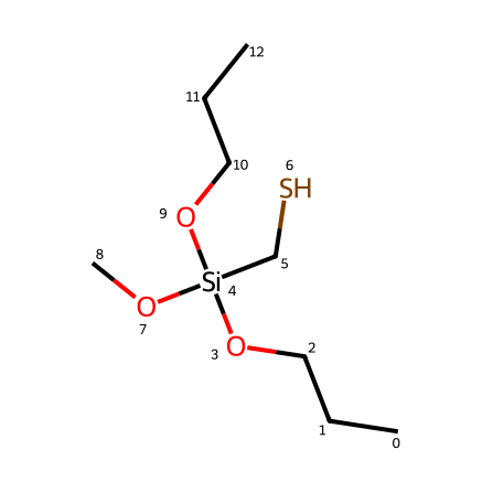 CCCO[Si](CS)(OC)OCCC